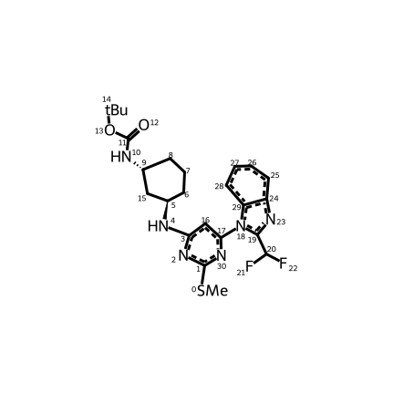 CSc1nc(N[C@@H]2CCC[C@@H](NC(=O)OC(C)(C)C)C2)cc(-n2c(C(F)F)nc3ccccc32)n1